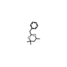 CC1CC(C)(C)OC(Cc2ccccc2)O1